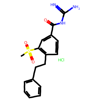 CS(=O)(=O)c1cc(C(=O)NC(=N)N)ccc1CCc1ccccc1.Cl